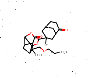 CCC1(C(=O)OC2C3OC(=O)C4C3CC2C4(C=O)COCCS(=O)(=O)O)CC2CCC(=O)C(C2)C1